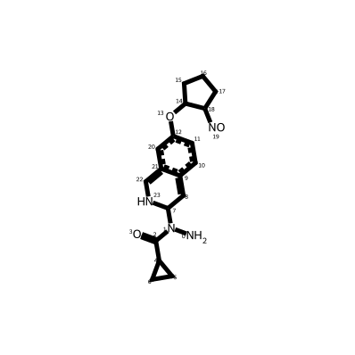 NN(C(=O)C1CC1)C1C=c2ccc(OC3CCCC3N=O)cc2=CN1